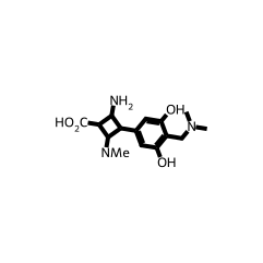 CNC1C(C(=O)O)C(N)C1c1cc(O)c(CN(C)C)c(O)c1